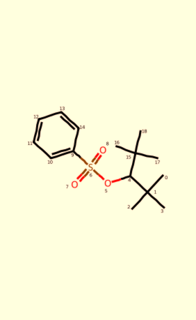 CC(C)(C)C(OS(=O)(=O)c1ccccc1)C(C)(C)C